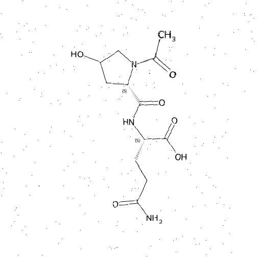 CC(=O)N1CC(O)C[C@H]1C(=O)N[C@@H](CCC(N)=O)C(=O)O